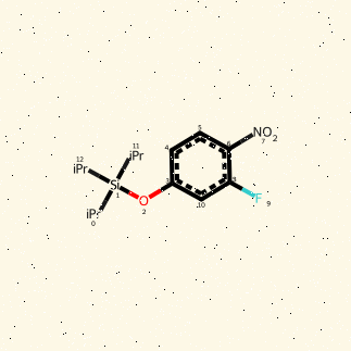 CC(C)[Si](Oc1ccc([N+](=O)[O-])c(F)c1)(C(C)C)C(C)C